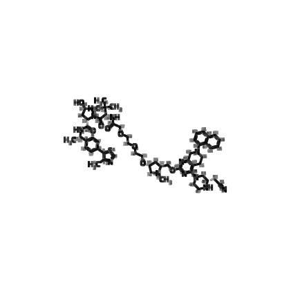 Cc1ncsc1-c1ccc([C@H](C)NC(=O)[C@@H]2C[C@@H](O)CN2C(=O)[C@@H](NC(=O)COCCOCCO[C@@H]2C[C@@H](COc3nc4c(c(N5CCN[C@@H](CC#N)C5)n3)CCN(c3cccc5ccccc35)C4)N(C)C2)C(C)(C)C)cc1